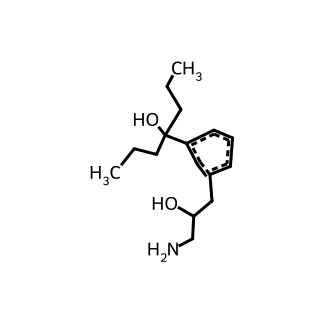 CCCC(O)(CCC)c1cccc(CC(O)CN)c1